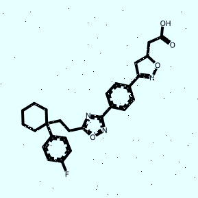 O=C(O)CC1CC(c2ccc(-c3noc(CCC4(c5ccc(F)cc5)CCCCC4)n3)cc2)=NO1